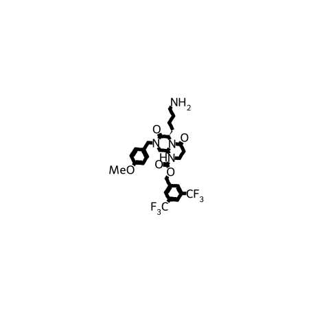 COc1ccc(CN2C[C@@H]3N(C(=O)OCc4cc(C(F)(F)F)cc(C(F)(F)F)c4)CCC(=O)N3[C@@H](CCCCN)C2=O)cc1